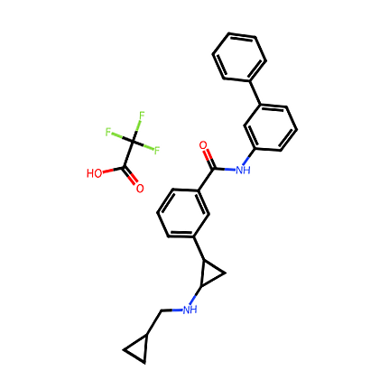 O=C(Nc1cccc(-c2ccccc2)c1)c1cccc(C2CC2NCC2CC2)c1.O=C(O)C(F)(F)F